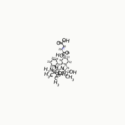 CC(O)C(C)(N)Cc1ccccc1.CC(O)C(C)(N)Cc1ccccc1.O=C(O)/C=C/C(=O)O